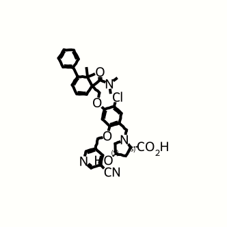 CN(C)C(=O)C1(COc2cc(OCc3cncc(C#N)c3)c(CN3C[C@@H](O)C[C@H]3C(=O)O)cc2Cl)C=CC=C(c2ccccc2)C1(C)C